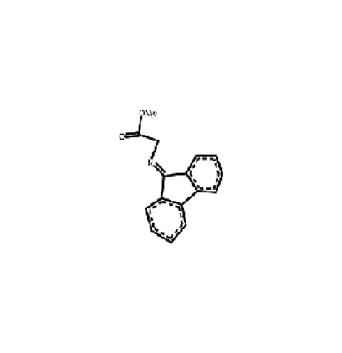 COC(=O)CN=C1c2ccccc2-c2ccccc21